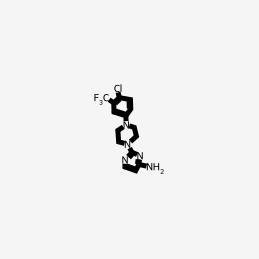 Nc1ccnc(N2CCN(c3ccc(Cl)c(C(F)(F)F)c3)CC2)n1